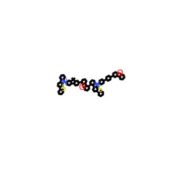 CC1(C)c2cc(-c3cccc4c3oc3cccc(-c5cccc6c5c5ccc7c8ccccc8sc7c5n6-c5ccc(-c6ccc(-c7ccc8oc9ccccc9c8c7)cc6)cc5)c34)ccc2-c2ccc(-n3c4ccccc4c4ccc5c6ccccc6sc5c43)cc21